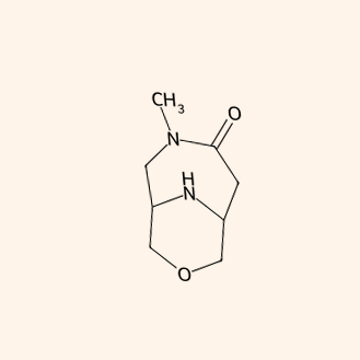 CN1CC2COCC(CC1=O)N2